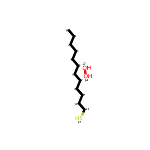 CCCCCCCCCCCCS.OO